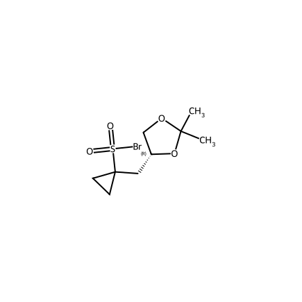 CC1(C)OC[C@@H](CC2(S(=O)(=O)Br)CC2)O1